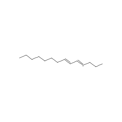 CCC/[C]=C/C=CCCCCCCC